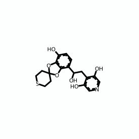 Oc1cncc(O)c1CC(O)c1ccc(O)c2c1OC1(CCSCC1)O2